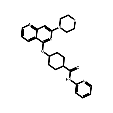 O=C(Nc1ccccn1)C1CCC(Oc2nc(N3CCOCC3)cc3ncccc23)CC1